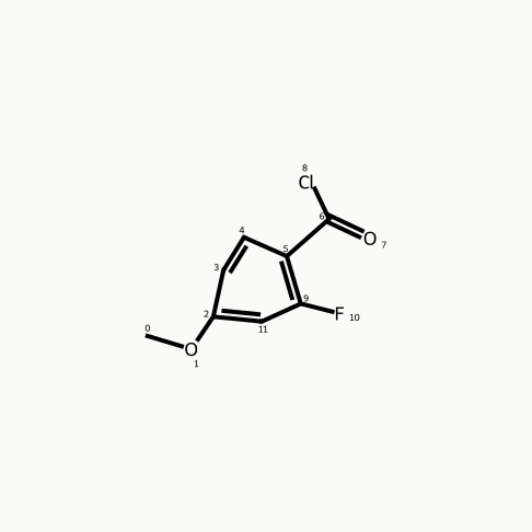 COc1ccc(C(=O)Cl)c(F)c1